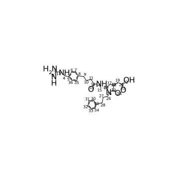 N=C(N)NCc1ccc(CCCC(=O)NC[C@@H]2C[C@@H](CC(=O)O)C(=O)N2CCCc2ccccc2)cc1